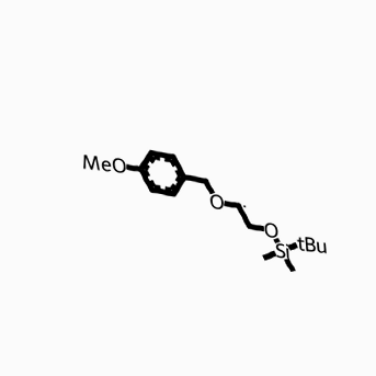 COc1ccc(CO[CH]CO[Si](C)(C)C(C)(C)C)cc1